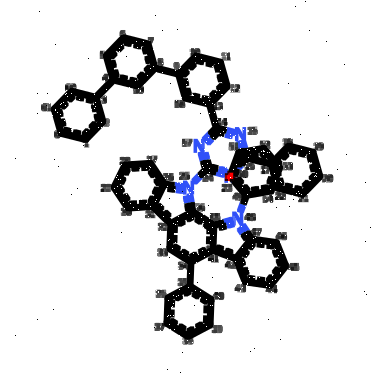 c1ccc(-c2cccc(-c3cccc(-c4nc(-c5ccccc5)nc(-n5c6ccccc6c6cc(-c7ccccc7)c7c8ccccc8n(-c8ccccc8)c7c65)n4)c3)c2)cc1